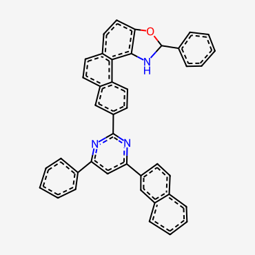 c1ccc(-c2cc(-c3ccc4ccccc4c3)nc(-c3ccc4c(ccc5ccc6c(c54)NC(c4ccccc4)O6)c3)n2)cc1